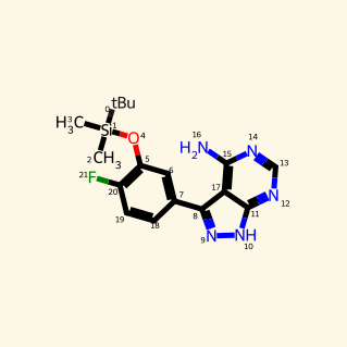 CC(C)(C)[Si](C)(C)Oc1cc(-c2n[nH]c3ncnc(N)c23)ccc1F